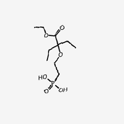 CCOC(=O)C(CC)(CC)OCCP(=O)(O)O